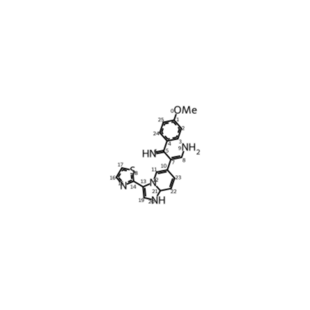 COc1ccc(C(=N)/C(=C\N)C2=CN3C(c4nccs4)=CNC3C=C2)cc1